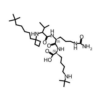 CC(C)C(NC1(CCCCCC(C)(C)C)CCC1)C(=O)N[C@@H](CCCNC(N)=O)C(=O)N[C@@H](CCCCNC(C)(C)C)C(=O)O